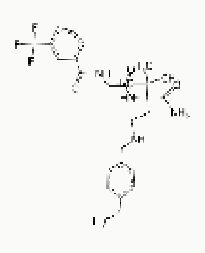 CCc1ccc(CNCCC(NC(=O)CNC(=O)c2cccc(C(F)(F)F)c2)(C(N)=O)C(C)(C)C)cc1